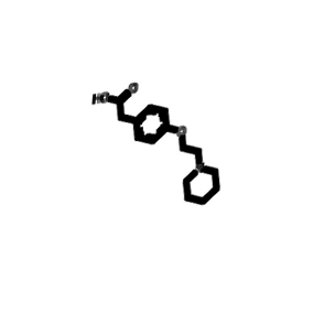 O=C(O)Cc1ccc(OCCN2CCCCC2)cc1